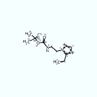 CCc1nnnn1CCNC(=O)OC(C)(C)C